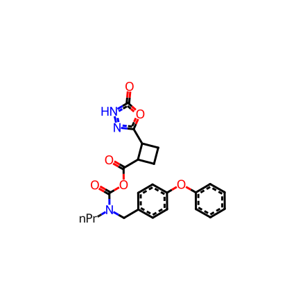 CCCN(Cc1ccc(Oc2ccccc2)cc1)C(=O)OC(=O)C1CCC1c1n[nH]c(=O)o1